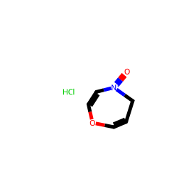 Cl.O=[N+]1C=COC=CC1